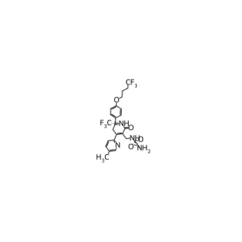 Cc1ccc(C2=C(CNS(N)(=O)=O)C(=O)N[C@@](c3ccc(OCCCC(F)(F)F)cc3)(C(F)(F)F)C2)nc1